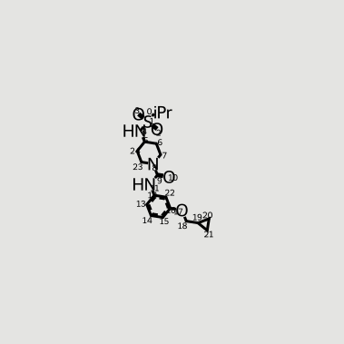 CC(C)S(=O)(=O)NC1CCN(C(=O)Nc2cccc(OCC3CC3)c2)CC1